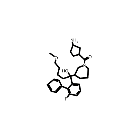 COCCCCC(O)(c1cccc(F)c1-c1ccccc1)C1CCCN(C(=O)C2CCC(N)C2)C1